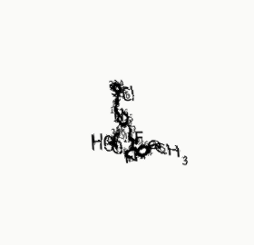 COc1ccc2nccc([C@H](F)CC[C@@H]3CCN(CC#Cc4sccc4Cl)C[C@H]3CCC(=O)O)c2c1